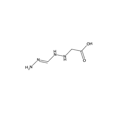 NN=CNNCC(=O)O